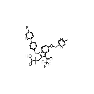 Cc1cnc(COc2ccc3c(c2)c(C(=O)C(F)(F)F)c(CC(C)(C)C(=O)O)n3Cc2ccc(-c3ccc(F)cn3)cc2)cn1